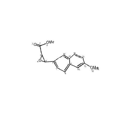 COC(=O)C1OC1c1ccc2cc(OC)ccc2c1